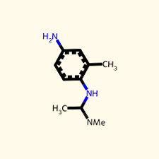 CNC(C)Nc1ccc(N)cc1C